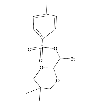 CCC(OS(=O)(=O)c1ccc(C)cc1)C1OCC(C)(C)CO1